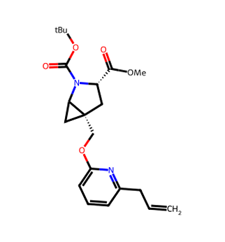 C=CCc1cccc(OC[C@]23CC2N(C(=O)OC(C)(C)C)[C@H](C(=O)OC)C3)n1